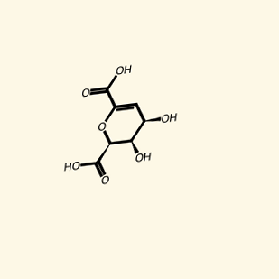 O=C(O)C1=C[C@@H](O)[C@@H](O)[C@@H](C(=O)O)O1